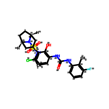 CCN[C@H]1C[C@H]2CC[C@@H](C1)N2S(=O)(=O)c1c(Cl)ccc(NC(=O)Nc2cccc(F)c2C)c1O